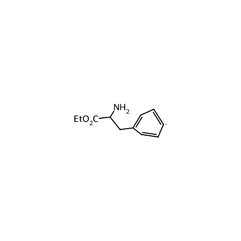 CCOC(=O)C(N)Cc1cc[c]cc1